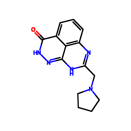 O=c1[nH]nc2c3c(cccc13)N=C(CN1CCCC1)N2